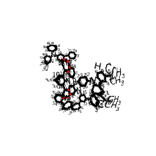 CC(C)(C)c1ccc2c(c1)c1cc(C(C)(C)C)ccc1n2-c1ccc2c(c1)N(c1cc(-c3ccccc3)cc(-c3ccccc3)c1)c1cc(-n3c4ccccc4c4ccccc43)cc3c1B2c1ccc(-n2c4ccccc4c4cc(N(c5ccccc5)c5ccccc5)ccc42)cc1N3c1c(-c2ccccc2)cccc1-c1ccccc1